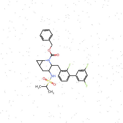 CC(C)S(=O)(=O)NC1CC2CC2N(C(=O)OCc2ccccc2)C1Cc1cccc(-c2cc(F)cc(F)c2)c1F